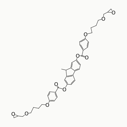 CC1c2cc(OC(=O)c3ccc(OCCCCOCC4CO4)cc3)ccc2-c2ccc(OC(=O)c3ccc(OCCCCOCC4CO4)cc3)cc21